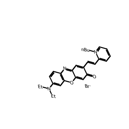 CCCC[n+]1ccccc1C=Cc1cc2nc3ccc(N(CC)CC)cc3oc-2cc1=O.[Br-]